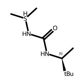 C[C@H](NC(=O)N[SH](C)C)C(C)(C)C